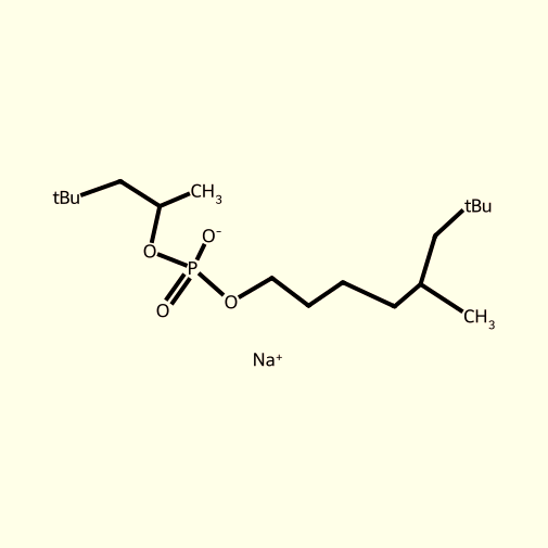 CC(CCCCOP(=O)([O-])OC(C)CC(C)(C)C)CC(C)(C)C.[Na+]